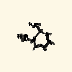 C=C1N=NC=CN1C